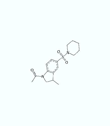 CC(=O)N1CC(C)c2cc(S(=O)(=O)N3CCCCC3)ccc21